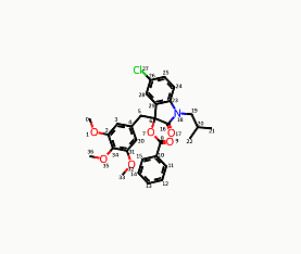 COc1cc(CC2(OC(=O)c3ccccc3)C(=O)N(CC(C)C)c3ccc(Cl)cc32)cc(OC)c1OC